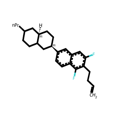 C=CCCc1c(F)cc2cc([C@@H]3CC[C@@H]4CC(CCC)CCC4C3)ccc2c1F